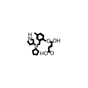 Cc1ccc(C)c(CN(C2CCCC2)[C@H]2CCNC2)c1.O=C(O)/C=C/C(=O)O